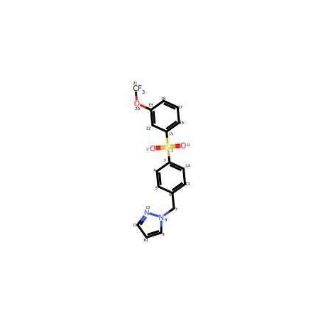 O=S(=O)(c1ccc(Cn2cccn2)cc1)c1cccc(OC(F)(F)F)c1